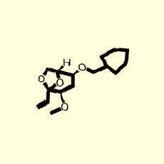 C=CC12OC[C@@H](O1)[C@@H](OCC1CCCCC1)C[C@H]2OC